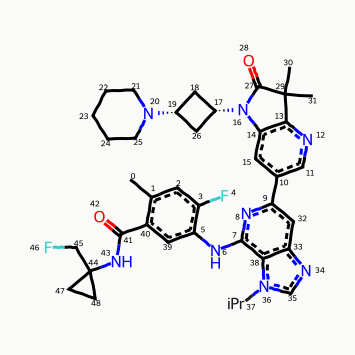 Cc1cc(F)c(Nc2nc(-c3cnc4c(c3)N([C@H]3C[C@@H](N5CCCCC5)C3)C(=O)C4(C)C)cc3ncn(C(C)C)c23)cc1C(=O)NC1(CF)CC1